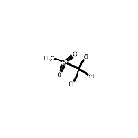 CS(=O)(=O)C(Cl)(Cl)Cl